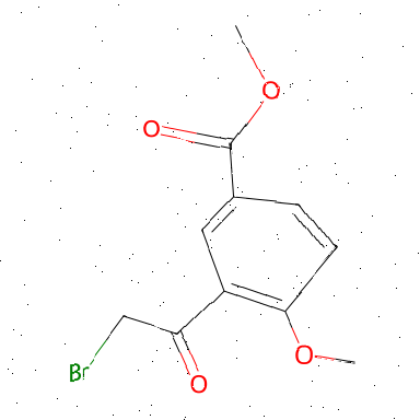 COC(=O)c1ccc(OC)c(C(=O)CBr)c1